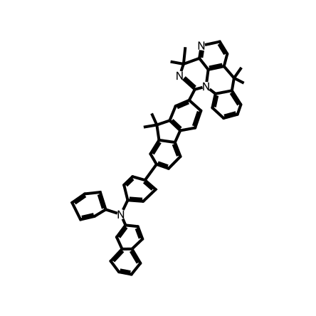 CC1(C)N=C(c2ccc3c(c2)C(C)(C)c2cc(-c4ccc(N(c5ccccc5)c5ccc6ccccc6c5)cc4)ccc2-3)N2c3ccccc3C(C)(C)c3ccnc1c32